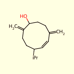 C=C1C=CC(C(C)C)CCC(=C)C(O)CC1